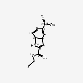 CCOC(=O)C1=CC2C=C([N+](=O)[O-])C=CC2N1